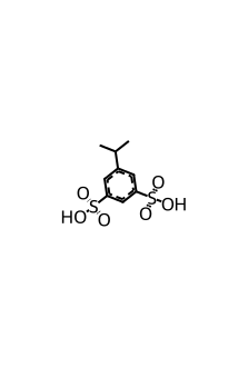 CC(C)c1cc(S(=O)(=O)O)cc(S(=O)(=O)O)c1